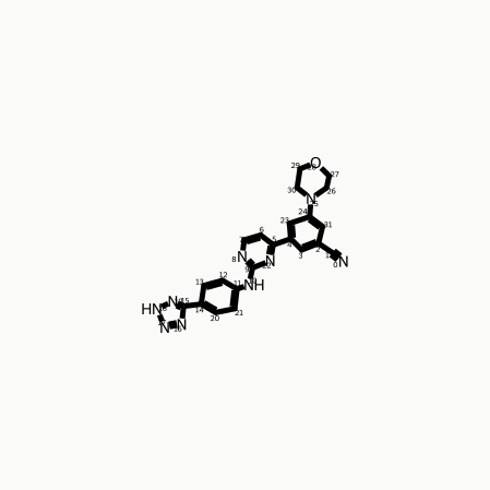 N#Cc1cc(-c2ccnc(Nc3ccc(-c4nn[nH]n4)cc3)n2)cc(N2CCOCC2)c1